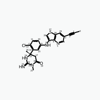 CC#Cc1cnc2c(Nc3ccc(Cl)c([C@]4(C)CC(=O)N(C)C(=N)N4)c3)csc2c1